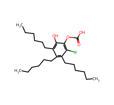 CCCCCCc1c(O)c(OC(=O)O)c(Br)c(CCCCCC)c1CCCCCC